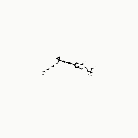 CC(CCN1Cc2cc(C#CC#CC3(COC(=O)OCOP(=O)(O)O)CC3)cn2C1=O)(C(=O)NO)S(C)(=O)=O